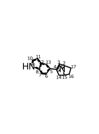 CN1C2C=C(c3ccc4[nH]ccc4c3)CC1CC2